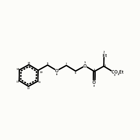 CCOC(=O)C(CC)C(=O)OCCOCc1ccccc1